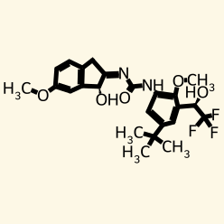 COc1ccc2c(c1)[C@@H](O)/C(=N\C(=O)Nc1cc(C(C)(C)C)cc([C@@H](O)C(F)(F)F)c1OC)C2